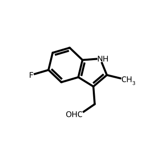 Cc1[nH]c2ccc(F)cc2c1CC=O